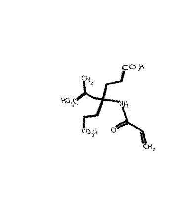 C=CC(=O)NC(CCC(=O)O)(CCC(=O)O)C(C)C(=O)O